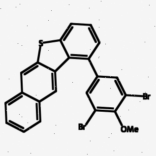 COc1c(Br)cc(-c2cccc3sc4cc5ccccc5cc4c23)cc1Br